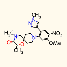 COc1cc(N2CCC3(CC2)CN(C)C(=O)C(C)O3)c(-c2cnn(C)c2)cc1[N+](=O)[O-]